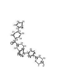 CN1CCN(c2nc(-c3nnc4n3CCN(C(=O)c3ccc(-c5cccs5)cc3)C4)cs2)CC1